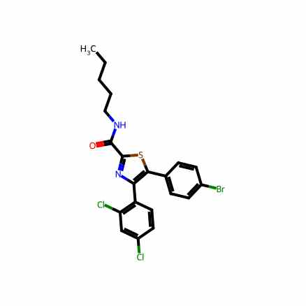 CCCCCNC(=O)c1nc(-c2ccc(Cl)cc2Cl)c(-c2ccc(Br)cc2)s1